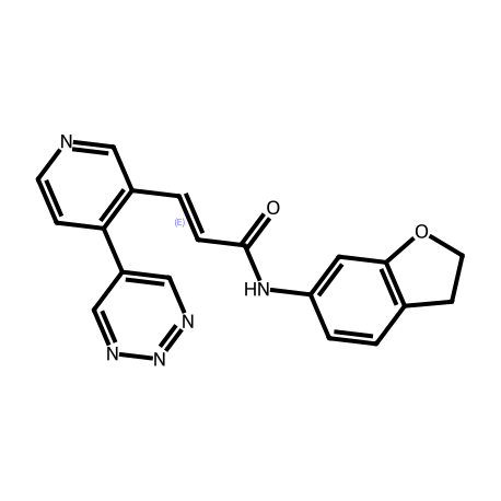 O=C(/C=C/c1cnccc1-c1cnnnc1)Nc1ccc2c(c1)OCC2